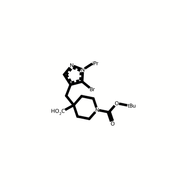 CC(C)n1ncc(CC2(C(=O)O)CCN(C(=O)OC(C)(C)C)CC2)c1Br